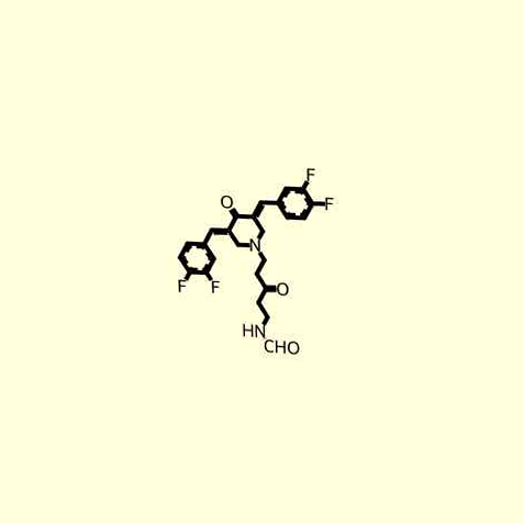 O=CNCCC(=O)CCN1C/C(=C\c2ccc(F)c(F)c2)C(=O)/C(=C/c2ccc(F)c(F)c2)C1